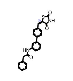 O=C(Cc1ccccc1)Nc1cccc(-c2ccc(/C=C3/SC(=O)NC3=O)cc2)c1